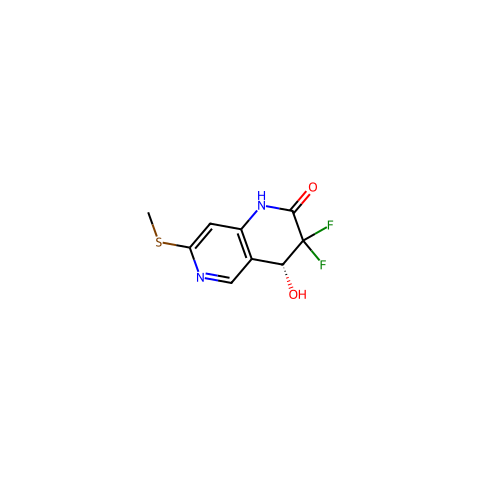 CSc1cc2c(cn1)[C@@H](O)C(F)(F)C(=O)N2